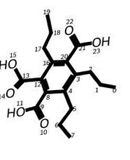 CCCc1c(CCC)c(C(=O)O)c(C(=O)O)c(CCC)c1C(=O)O